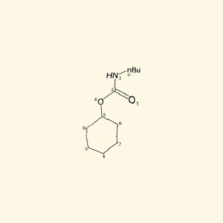 [CH2]CCCNC(=O)OC1CCCCC1